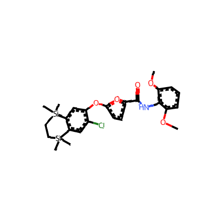 COc1cccc(OC)c1NC(=O)c1ccc(Oc2cc3c(cc2Cl)[Si](C)(C)CC[Si]3(C)C)o1